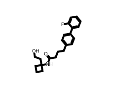 O=C(CCCc1ccc(-c2ccccc2F)cc1)NC1(CCO)CCC1